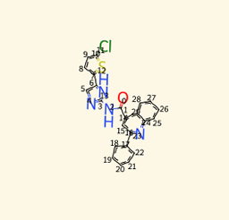 O=C(Nc1ncc(-c2ccc(Cl)s2)[nH]1)c1cc(-c2ccccc2)nc2ccccc12